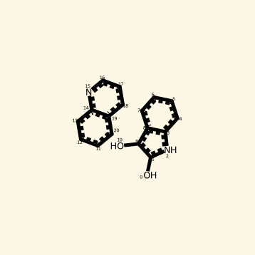 Oc1[nH]c2ccccc2c1O.c1ccc2ncccc2c1